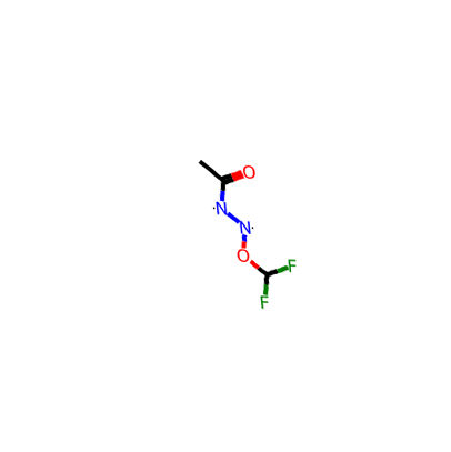 CC(=O)[N][N]OC(F)F